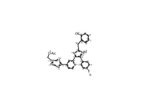 CC(=O)OCn1nnc(-c2ccnc(-c3nc(Cc4ccccc4Cl)[nH]c3-c3ccc(F)cc3)c2)n1